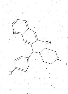 Oc1cc2cccnc2cc1C(c1ccc(Cl)cc1)N1CCOCC1